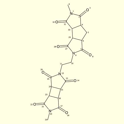 CN1C(=O)C2CC3C(=O)N(CCN4C(=O)C5C6C(=O)N(C)C(=O)C6C5C4=O)C(=O)C3C2C1=O